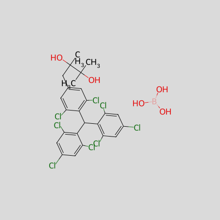 CC(C)(O)C(C)(O)Cc1cc(Cl)c(C(c2c(Cl)cc(Cl)cc2Cl)c2c(Cl)cc(Cl)cc2Cl)c(Cl)c1.OB(O)O